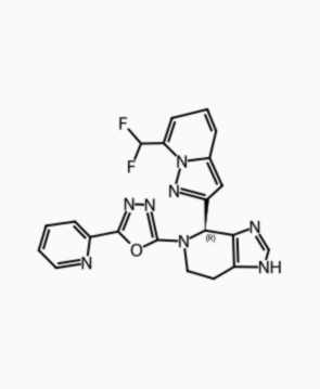 FC(F)c1cccc2cc([C@H]3c4nc[nH]c4CCN3c3nnc(-c4ccccn4)o3)nn12